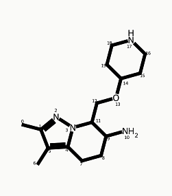 Cc1nn2c(c1C)CCC(N)C2COC1CCNCC1